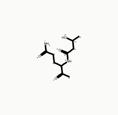 CC(=O)C(CCC(N)=O)NC(=O)CC(C)O